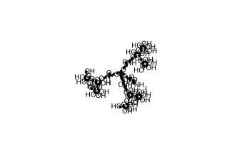 NCC(=O)NC(=O)CCOCC(COCCC(=O)NCCO[C@H]1O[C@H](CO[C@H]2O[C@H](CO)[C@@H](O)[C@H](O)[C@@H]2O)[C@@H](O)[C@H](O[C@H]2O[C@H](CO)[C@@H](O)[C@H](O)[C@@H]2O)[C@@H]1O)(COCCC(=O)NCCO[C@H]1O[C@H](CO[C@H]2O[C@H](CO)[C@@H](O)[C@H](O)[C@@H]2O)[C@@H](O)[C@H](O[C@H]2O[C@H](CO)[C@@H](O)[C@H](O)[C@@H]2O)[C@@H]1O)COCCC(=O)NCCO[C@H]1O[C@H](CO[C@H]2O[C@H](CO)[C@@H](O)[C@H](O)[C@@H]2O)[C@@H](O)[C@H](O[C@H]2O[C@H](CO)[C@@H](O)[C@H](O)[C@@H]2O)[C@@H]1O